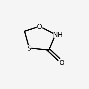 O=C1NOCS1